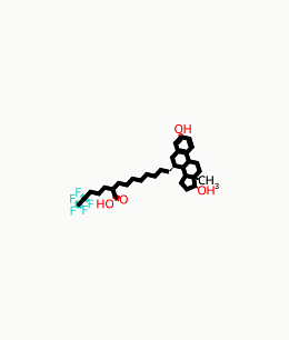 C[C@]12CCC3c4ccc(O)cc4C[C@@H](CCCCCCCCC(CCCC(F)(F)C(F)(F)F)C(=O)O)C3C1CC[C@@H]2O